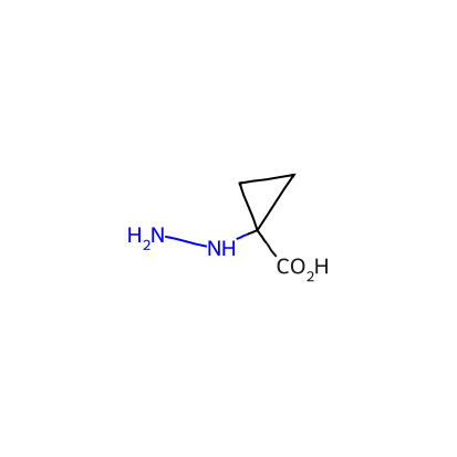 NNC1(C(=O)O)CC1